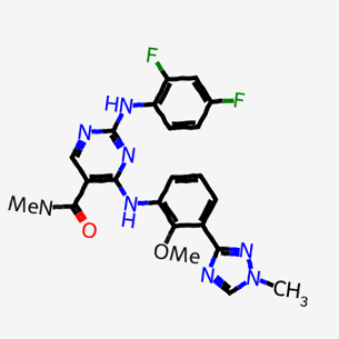 CNC(=O)c1cnc(Nc2ccc(F)cc2F)nc1Nc1cccc(-c2ncn(C)n2)c1OC